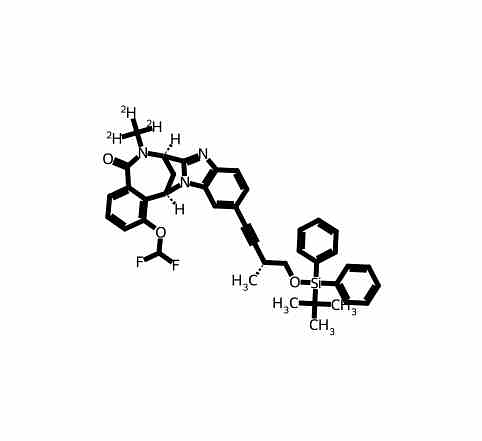 [2H]C([2H])([2H])N1C(=O)c2cccc(OC(F)F)c2[C@H]2C[C@@H]1c1nc3ccc(C#C[C@@H](C)CO[Si](c4ccccc4)(c4ccccc4)C(C)(C)C)cc3n12